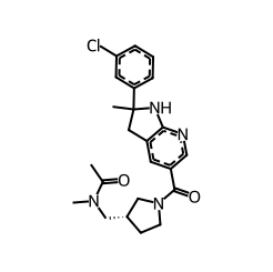 CC(=O)N(C)C[C@H]1CCN(C(=O)c2cnc3c(c2)CC(C)(c2cccc(Cl)c2)N3)C1